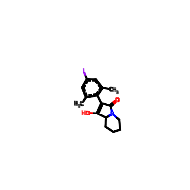 Cc1cc(I)cc(C)c1C1=C(O)C2CCCCN2C1=O